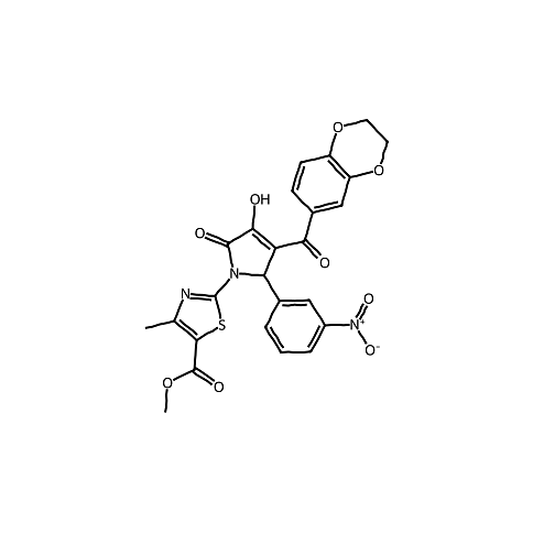 COC(=O)c1sc(N2C(=O)C(O)=C(C(=O)c3ccc4c(c3)OCCO4)C2c2cccc([N+](=O)[O-])c2)nc1C